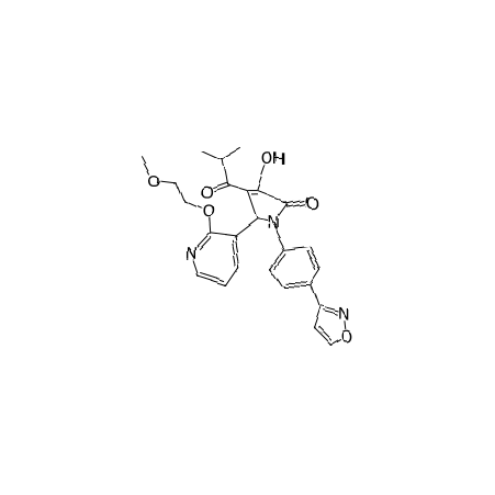 COCCOc1ncccc1C1C(C(=O)C(C)C)=C(O)C(=O)N1c1ccc(-c2ccon2)cc1